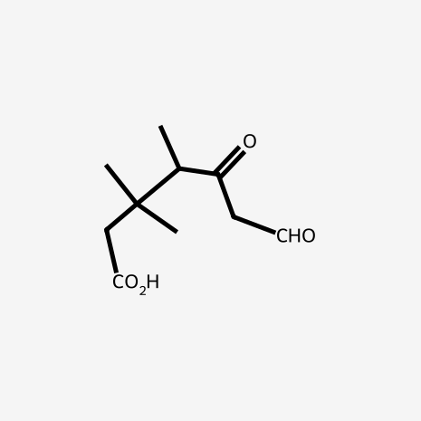 CC(C(=O)CC=O)C(C)(C)CC(=O)O